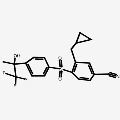 CC(O)(c1ccc(S(=O)(=O)c2ccc(C#N)cc2CC2CC2)cc1)C(F)(F)F